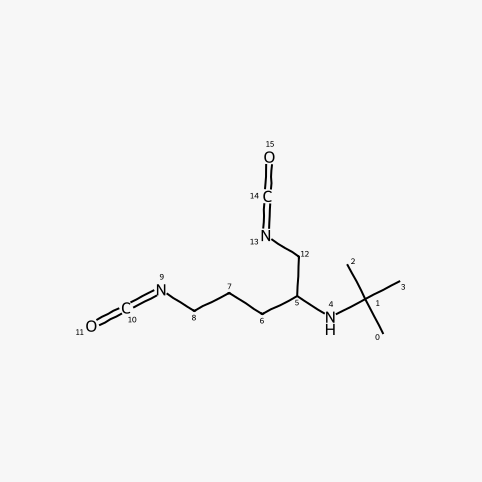 CC(C)(C)NC(CCCN=C=O)CN=C=O